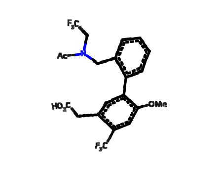 COc1cc(C(F)(F)F)c(CC(=O)O)cc1-c1ccccc1CN(CC(F)(F)F)C(C)=O